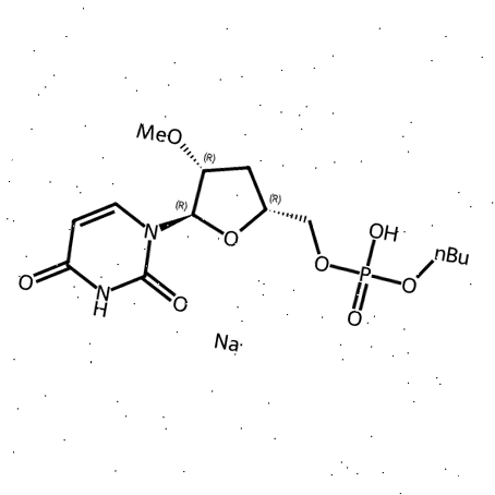 CCCCOP(=O)(O)OC[C@H]1C[C@@H](OC)[C@H](n2ccc(=O)[nH]c2=O)O1.[Na]